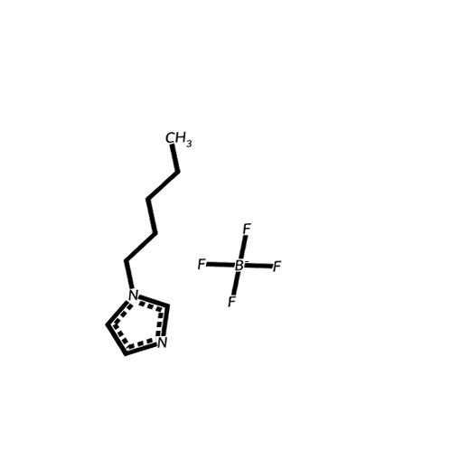 CCCCCn1ccnc1.F[B-](F)(F)F